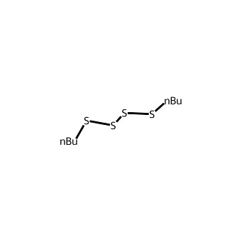 CCCCSSSSCCCC